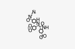 COC(=O)c1ccc2c(c1)NC(=O)/C2=C(\Nc1ccc(C(=O)N(C)CCN(C)C)cc1)c1ccc2c(c1)OCCO2